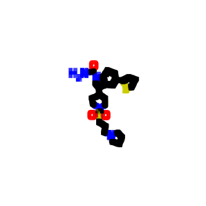 NC(=O)n1cc(C2CCN(S(=O)(=O)CCCN3CCCC3)CC2)c2cc(-c3cccs3)ccc21